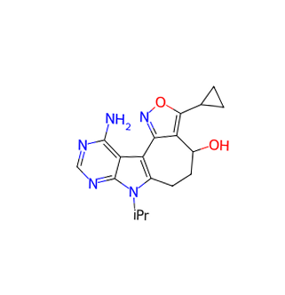 CC(C)n1c2c(c3c(N)ncnc31)-c1noc(C3CC3)c1C(O)CC2